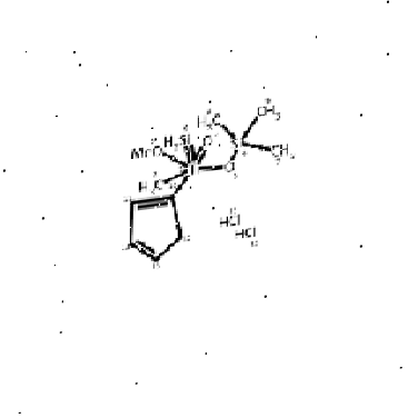 C[O][Ti]([CH3])(=[O])(=[SiH2])([O][Si](C)(C)C)[C]1=CC=CC1.Cl.Cl